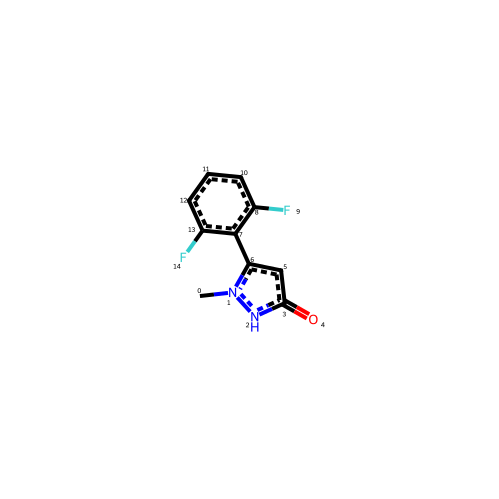 Cn1[nH]c(=O)cc1-c1c(F)cccc1F